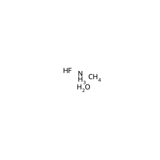 C.F.N.O